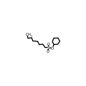 CCCCCCCCS(=O)(=O)OC1CCCCC1